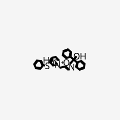 OC(c1ccccc1)(c1ccccc1)c1ncc(C[N+]23CCC(CC2)[C@@H](Sc2ccccc2)C3)o1